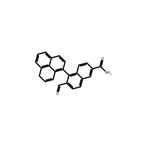 NC(=O)c1ccc2c(-c3ccc4cccc5c4c3C=CC5)c(C=O)ccc2c1